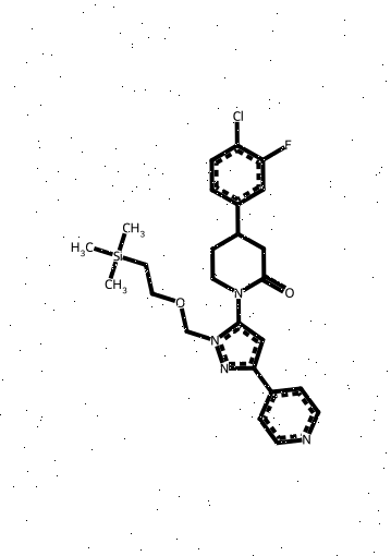 C[Si](C)(C)CCOCn1nc(-c2ccncc2)cc1N1CCC(c2ccc(Cl)c(F)c2)CC1=O